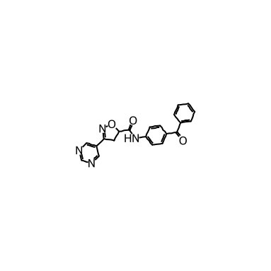 O=C(c1ccccc1)c1ccc(NC(=O)C2CC(c3cncnc3)=NO2)cc1